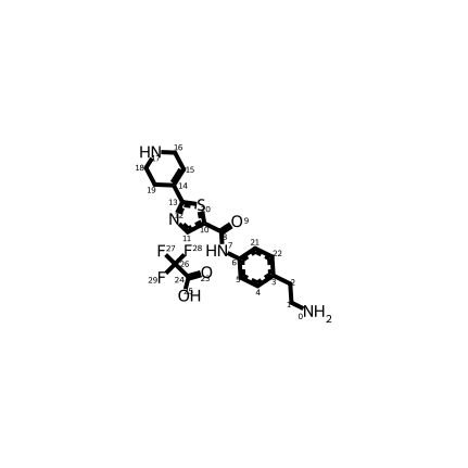 NCCc1ccc(NC(=O)c2cnc(C3=CCNCC3)s2)cc1.O=C(O)C(F)(F)F